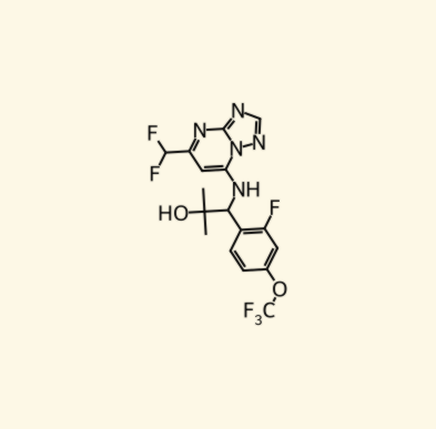 CC(C)(O)C(Nc1cc(C(F)F)nc2ncnn12)c1ccc(OC(F)(F)F)cc1F